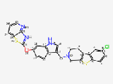 Clc1ccc2sc3c(c2c1)CCN(Cc1c[nH]c2cc(Oc4nc5ncccc5s4)ccc12)C3